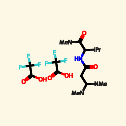 CNC(=O)C(NC(=O)CC(NC)NC)C(C)C.O=C(O)C(F)(F)F.O=C(O)C(F)(F)F